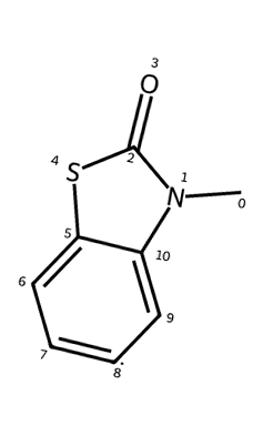 Cn1c(=O)sc2cc[c]cc21